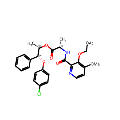 COc1ccnc(C(=O)N[C@@H](C)C(=O)O[C@@H](C)[C@H](Oc2ccc(Cl)cc2)c2ccccc2)c1OCOC(C)=O